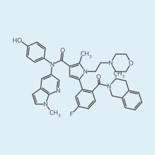 Cc1c(C(=O)N(c2ccc(O)cc2)c2cnc3c(ccn3C)c2)cc(-c2cc(F)ccc2C(=O)N2Cc3ccccc3C[C@H]2C)n1CCN1CCOCC1